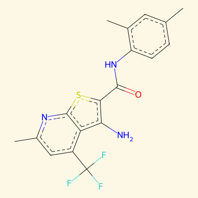 Cc1ccc(NC(=O)c2sc3nc(C)cc(C(F)(F)F)c3c2N)c(C)c1